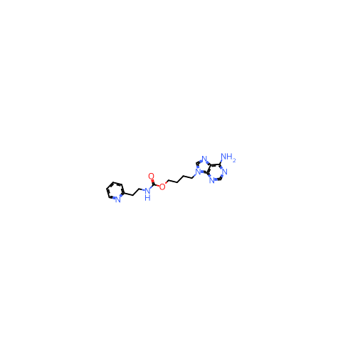 Nc1ncnc2c1ncn2CCCCOC(=O)NCCc1ccccn1